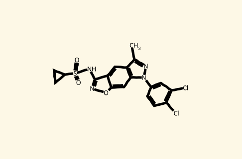 Cc1nn(-c2ccc(Cl)c(Cl)c2)c2cc3onc(NS(=O)(=O)C4CC4)c3cc12